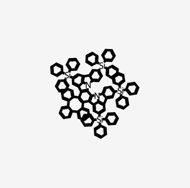 c1ccc([Si](c2ccccc2)(c2ccccc2)c2ccc3c(c2)c2cc([Si](c4ccccc4)(c4ccccc4)c4ccccc4)cc4c5c6c7ccccc7c7ccccc7c7ccccc7c6c6c7cc([Si](c8ccccc8)(c8ccccc8)c8ccccc8)cc8c9cc([Si](c%10ccccc%10)(c%10ccccc%10)c%10ccccc%10)ccc9n(c87)c6c5n3c24)cc1